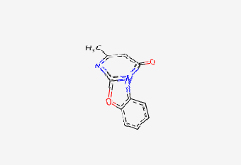 Cc1cc(=O)n2c(n1)oc1ccccc12